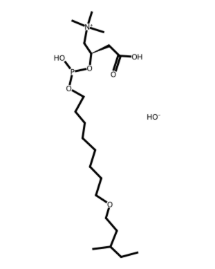 CCC(C)CCOCCCCCCCCOP(O)O[C@H](CC(=O)O)C[N+](C)(C)C.[OH-]